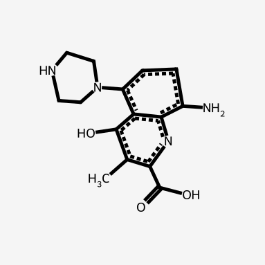 Cc1c(C(=O)O)nc2c(N)ccc(N3CCNCC3)c2c1O